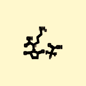 NCCC[C@H](C(=O)O)N1C(=O)C=CC1=O.O=C(O)C(F)(F)F